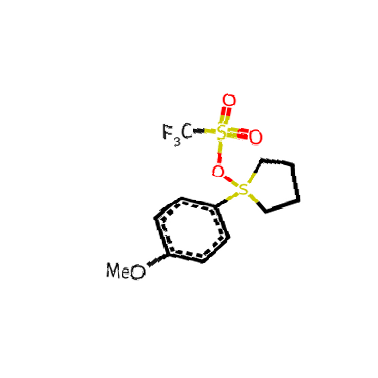 COc1ccc(S2(OS(=O)(=O)C(F)(F)F)CCCC2)cc1